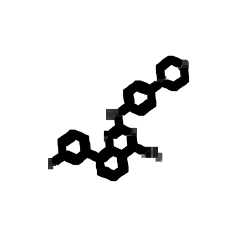 Nc1nc(Nc2ccc(N3CCOCC3)cc2)nc2c(-c3cccc(F)c3)cccc12